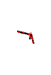 CCCCCCCCCCCCCCOC(=O)C(C)(CCCCC)CCCCCCCCCC